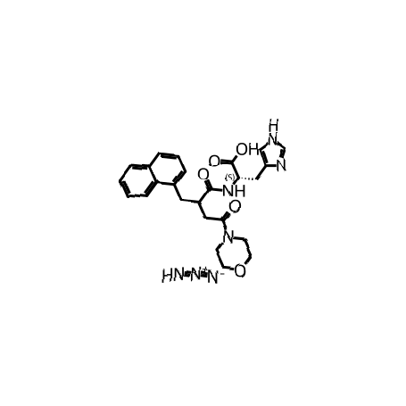 O=C(N[C@@H](Cc1c[nH]cn1)C(=O)O)C(CC(=O)N1CCOCC1)Cc1cccc2ccccc12.[N-]=[N+]=N